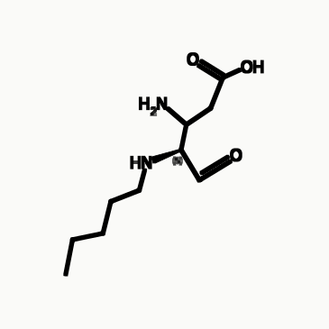 CCCCCN[C@H](C=O)C(N)CC(=O)O